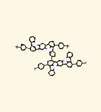 CC(C)c1ccc(-c2ccc3c4cc5c(cc4n4c6ccccc6c2c34)c2c(-c3ccc4c6c(-c7ccc(C(C)(C)C)cc7)ccc7c8cc9c(cc8n(c4c3)c76)c3ccc(-c4ccc(C(C)(C)C)cc4)c4c6ccccc6n9c34)cc(-c3ccc(C(C)C)cc3)c3c4ccccc4n5c32)cc1